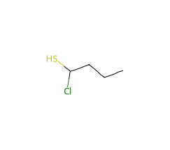 CCCC(S)Cl